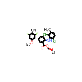 CCOCOC(=O)c1ccccc1Nc1c(Cl)ccc(C)c1Cl.CCOc1cc(F)c(C#N)c(F)c1